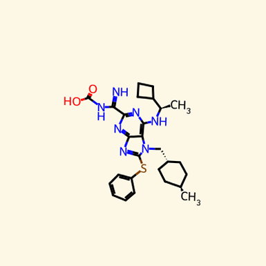 C[C@@H](Nc1nc(C(=N)NC(=O)O)nc2nc(Sc3ccccc3)n(C[C@H]3CC[C@H](C)CC3)c12)C1CCC1